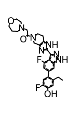 CCc1cc(O)c(F)cc1-c1cc(F)c2c(-c3nc4c([nH]3)CCN(C(=O)CN3CCCOCC3)C4)n[nH]c2c1